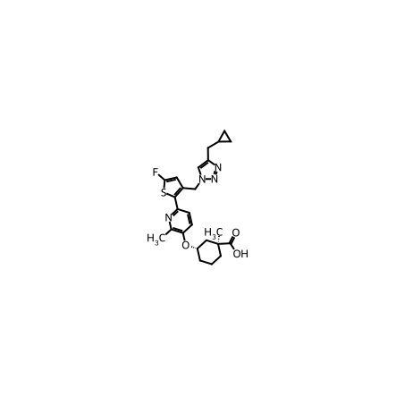 Cc1nc(-c2sc(F)cc2Cn2cc(CC3CC3)nn2)ccc1O[C@H]1CCC[C@](C)(C(=O)O)C1